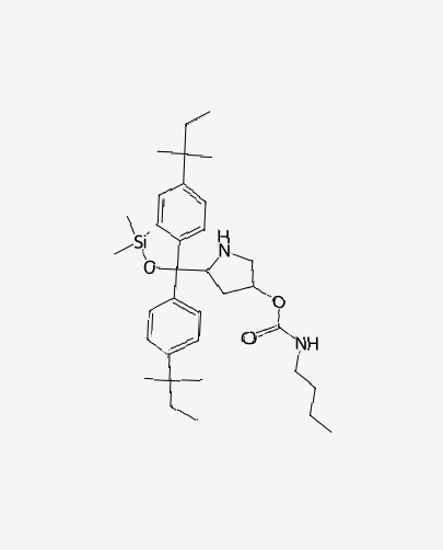 CCCCNC(=O)OC1CNC(C(O[Si](C)(C)C)(c2ccc(C(C)(C)CC)cc2)c2ccc(C(C)(C)CC)cc2)C1